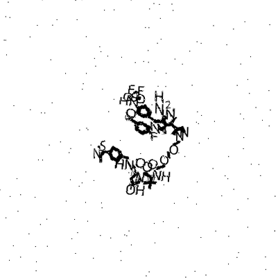 Cc1ncsc1-c1ccc(CNC(=O)[C@@H]2C[C@H](O)CN2C(=O)[C@@H](NC(=O)COCCOCCn2cc(-c3cnc(N)c4c(-c5ccc(NS(=O)(=O)C(F)F)c(O[C@@H](C)c6ccc(F)cc6)c5)nn(C)c34)cn2)C(C)(C)C)cc1